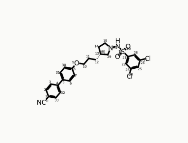 N#Cc1ccc(-c2ccc(OCCC[C@@H]3CCN(NS(=O)(=O)c4cc(Cl)cc(Cl)c4)C3)cc2)cc1